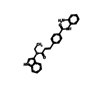 CCN(C(=O)C=Cc1ccc(C(=O)Nc2ccccc2N)cc1)c1c[nH]c2ccccc12